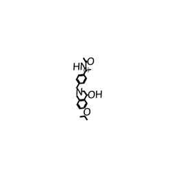 CC(=O)N[C@@H](C)c1ccc(CN2Cc3ccc(OC(C)C)cc3C(O)C2)cc1